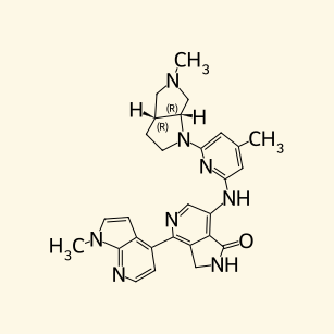 Cc1cc(Nc2cnc(-c3ccnc4c3ccn4C)c3c2C(=O)NC3)nc(N2CC[C@@H]3CN(C)C[C@@H]32)c1